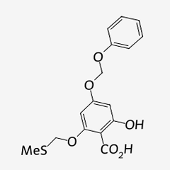 CSCOc1cc(OCOc2ccccc2)cc(O)c1C(=O)O